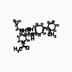 CC(=O)N1CCC(NCC2CC2)=C(C(=N)NC2=CC=CC(C3=C(C)CCC=C3)=CC2)C1